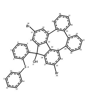 OC1(c2ccccc2Sc2ccccc2)c2cc(Br)cc3c2-c2c(cc(Br)cc21)-c1ccccc1-c1ccccc1-3